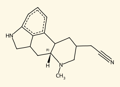 CN1CC(CC#N)CC2c3cccc4c3C(CN4)C[C@H]21